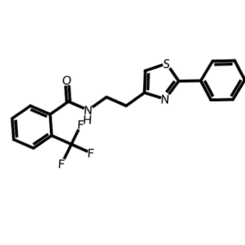 O=C(NCCc1csc(-c2ccccc2)n1)c1ccccc1C(F)(F)F